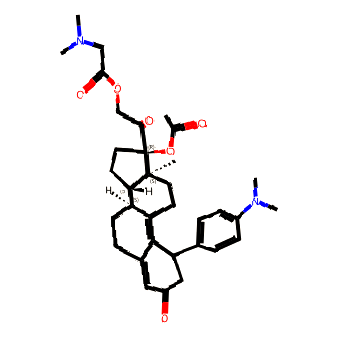 CC(=O)O[C@]1(C(=O)COC(=O)CN(C)C)CC[C@H]2[C@@H]3CCC4=CC(=O)CC(c5ccc(N(C)C)cc5)C4=C3CC[C@@]21C